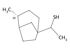 CC(S)C12CCC(C1)[C@H](C)CC2